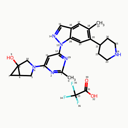 Cc1nc(N2CC3CC3(O)C2)cc(-n2ncc3cc(C)c(C4CCNCC4)cc32)n1.O=C(O)C(F)(F)F